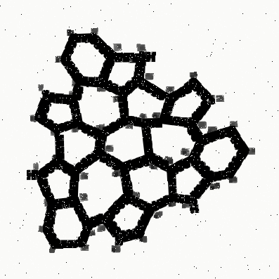 c1cc2[nH]c3c4csc5c6cccc7[nH]c8c9csc%10c%11cccc%12[nH]c%13c%14csc%15c(c1)c2c3c1c(c45)c(c8c76)c(c9%10)c(c%13c%12%11)c1c%14%15